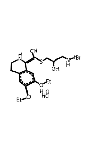 CCOc1cc2c(cc1OCC)C(=C(C#N)SCC(O)CNC(C)(C)C)NCC2.Cl.O